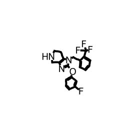 Fc1cccc(Oc2nc3c(n2Cc2ccccc2C(F)(F)F)CCNC3)c1